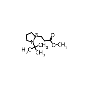 COC(=O)CC[C@@H]1CCCN1C(C)(C)C